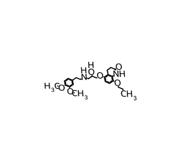 CCCOc1ccc(OCC(O)CNCCc2ccc(OC)c(OC)c2)c2c1NC(=O)CC2